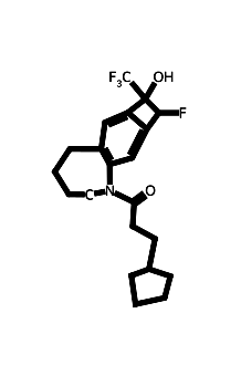 O=C(CCC1CCCC1)N1CCCCc2cc3c(cc21)C(F)C3(O)C(F)(F)F